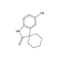 N#Cc1ccc2c(c1)C1(CCCCC1)C(=O)N2